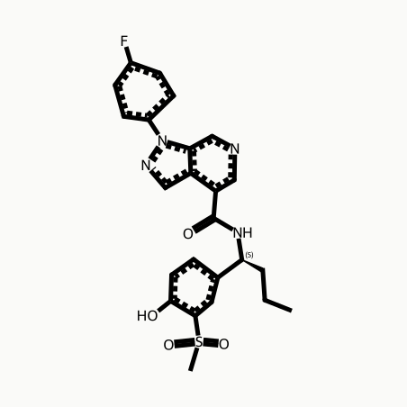 CCC[C@H](NC(=O)c1cncc2c1cnn2-c1ccc(F)cc1)c1ccc(O)c(S(C)(=O)=O)c1